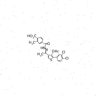 CC(=O)Oc1c(/C(C)=N/NC(=O)c2ccc(C(=O)O)c(C)c2)csc1-c1ccc(Cl)c(Cl)c1